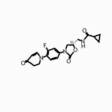 O=C1C=CN(c2ccc(N3C[C@H](CNC(=O)C4CC4)OC3=O)cc2F)CC1